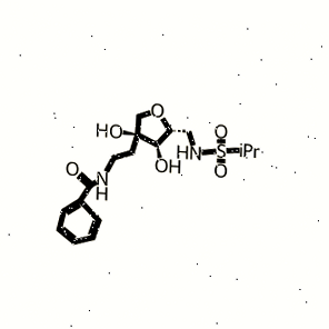 CC(C)S(=O)(=O)NC[C@H]1OC[C@@](O)(CCNC(=O)c2ccccc2)[C@@H]1O